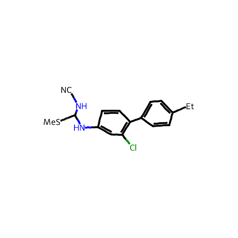 CCc1ccc(-c2ccc(NC(NC#N)SC)cc2Cl)cc1